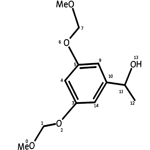 COCOc1cc(OCOC)cc(C(C)O)c1